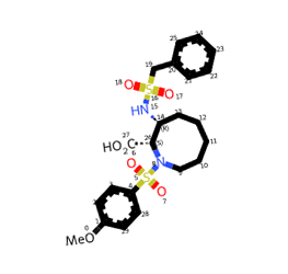 COc1ccc(S(=O)(=O)N2CCCCC[C@@H](NS(=O)(=O)Cc3ccccc3)[C@H]2C(=O)O)cc1